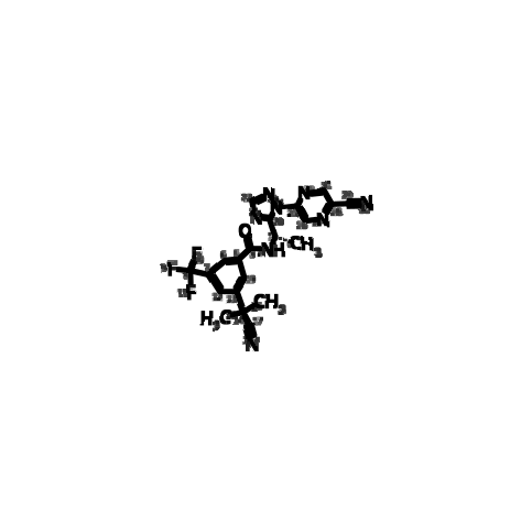 C[C@H](NC(=O)c1cc(C(F)(F)F)cc(C(C)(C)C#N)c1)c1ncnn1-c1cnc(C#N)cn1